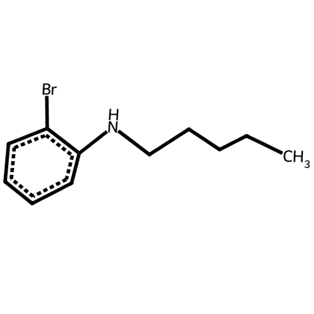 CCCCCNc1ccccc1Br